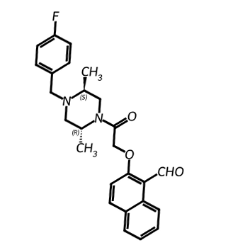 C[C@@H]1CN(Cc2ccc(F)cc2)[C@@H](C)CN1C(=O)COc1ccc2ccccc2c1C=O